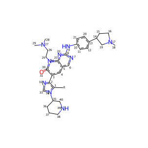 Cc1c(-c2cc3cnc(Nc4ccc(C5CCN(C)C5)cc4)nc3n(CCN(C)C)c2=O)ncn1C1CCCNC1